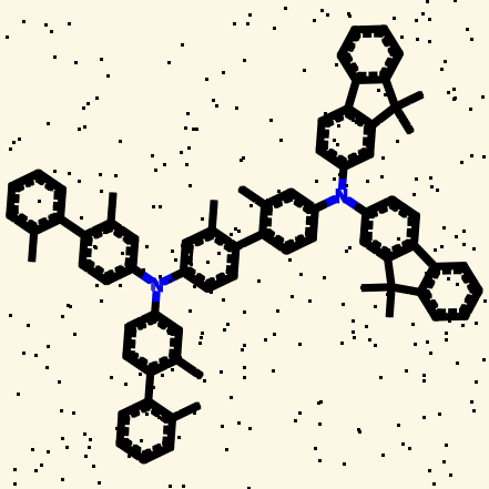 Cc1ccccc1-c1ccc(N(c2ccc(-c3ccccc3C)c(C)c2)c2ccc(-c3ccc(N(c4ccc5c(c4)C(C)(C)c4ccccc4-5)c4ccc5c(c4)C(C)(C)c4ccccc4-5)cc3C)c(C)c2)cc1C